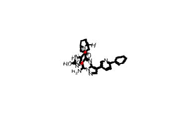 CC(=O)c1c(C2CC3CC[C@H](C2)N3C(=O)c2nnc(O)[nH]2)nc2c(-c3ccc(-c4ccccc4)nc3)cnn2c1N